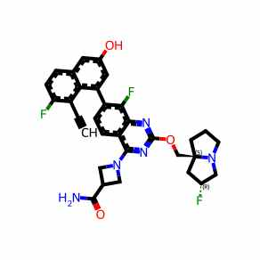 C#Cc1c(F)ccc2cc(O)cc(-c3ccc4c(N5CC(C(N)=O)C5)nc(OC[C@@]56CCCN5C[C@H](F)C6)nc4c3F)c12